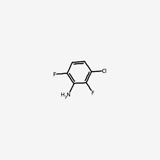 Nc1c(F)ccc(Cl)c1F